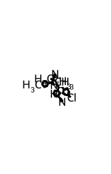 Cc1ccc(C(N[C@@H](C)[C@@H](Cc2ccc(Cl)cc2)c2cccc(C#N)c2)C(C)(C)C#N)cc1